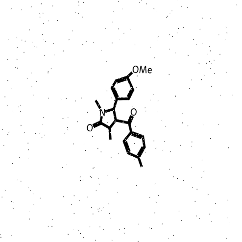 COc1ccc(C2C(C(=O)c3ccc(C)cc3)C(C)C(=O)N2C)cc1